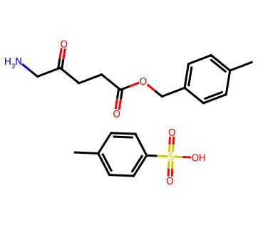 Cc1ccc(COC(=O)CCC(=O)CN)cc1.Cc1ccc(S(=O)(=O)O)cc1